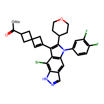 COC(=O)C1CC2(C=C(c3c(C4CCOCC4)n(-c4ccc(F)c(F)c4)c4cc5cn[nH]c5c(Br)c34)C2)C1